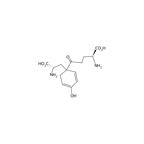 N[C@@H](CCC(=O)C1(C[C@H](N)C(=O)O)C=CC(O)=CC1)C(=O)O